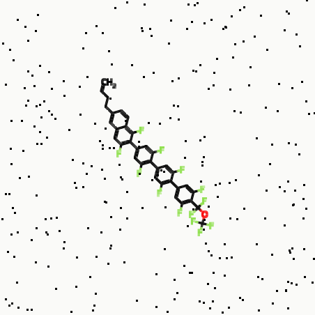 C=CCCc1ccc2c(F)c(-c3cc(F)c(-c4cc(F)c(-c5cc(F)c(C(F)(F)OC(F)(F)F)c(F)c5)c(F)c4)c(F)c3)c(F)cc2c1